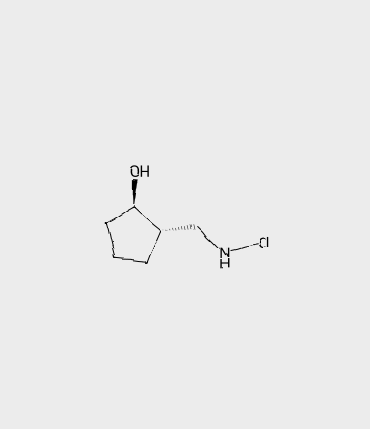 O[C@@H]1CCC[C@H]1CNCl